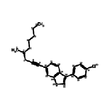 CCCCCN(C)CC#Cc1ccc2c(-c3ccc(Cl)cc3)nsc2c1